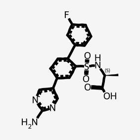 C[C@H](NS(=O)(=O)c1cc(-c2cnc(N)nc2)ccc1-c1cccc(F)c1)C(=O)O